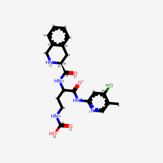 Cc1cnc(NC(=O)C(CCNC(=O)O)NC(=O)[C@@H]2Cc3ccccc3CN2)cc1Cl